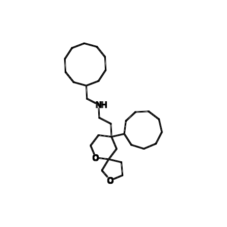 C1CCCCC(CNCCC2(C3CCCCCCCC3)CCOC3(CCOC3)C2)CCCC1